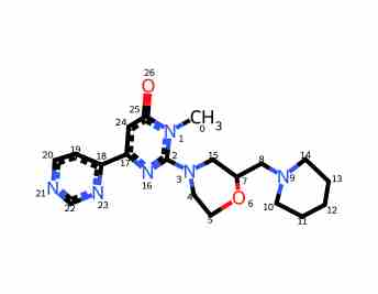 Cn1c(N2CCOC(CN3CCCCC3)C2)nc(-c2ccncn2)cc1=O